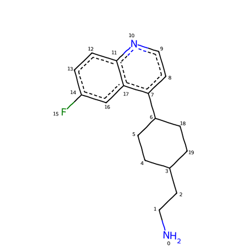 NCCC1CCC(c2ccnc3ccc(F)cc23)CC1